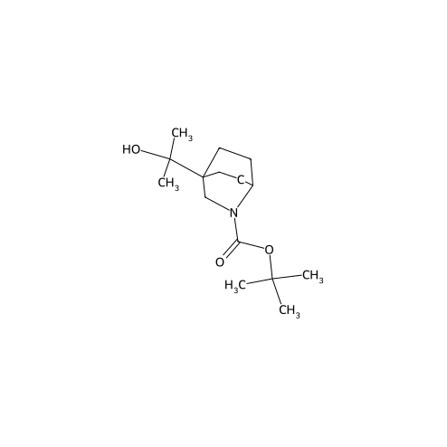 CC(C)(C)OC(=O)N1CC2(C(C)(C)O)CCC1CC2